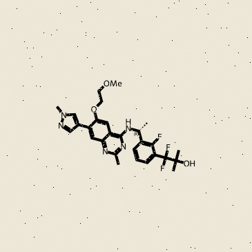 COCCOc1cc2c(N[C@H](C)c3cccc(C(F)(F)C(C)(C)O)c3F)nc(C)nc2cc1-c1cnn(C)c1